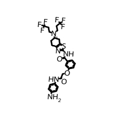 Nc1ccc(NC(=O)COc2cccc(C(=O)Nc3nc4c(s3)C[C@@H](N(CCC(F)(F)F)CCC(F)(F)F)CC4)c2)cc1